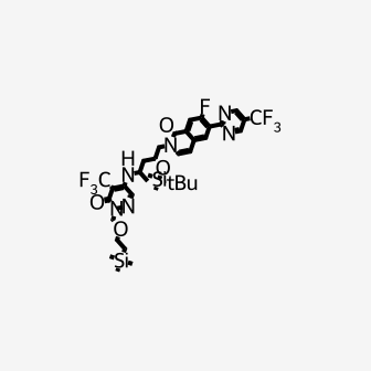 CC(CC(Cn1ccc2cc(-c3ncc(C(F)(F)F)cn3)c(F)cc2c1=O)O[Si](C)(C)C(C)(C)C)Nc1cnn(COCC[Si](C)(C)C)c(=O)c1C(F)(F)F